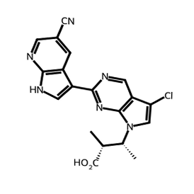 C[C@H]([C@@H](C)C(=O)O)n1cc(Cl)c2cnc(-c3c[nH]c4ncc(C#N)cc34)nc21